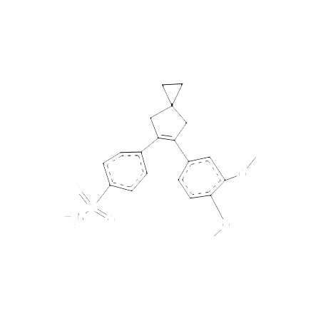 COc1ccc(C2=C(c3ccc(S(N)(=O)=O)cc3)CC3(CC3)C2)cc1OC